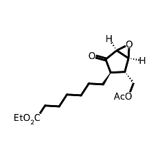 CCOC(=O)CCCCCC[C@H]1C(=O)[C@H]2O[C@H]2[C@@H]1COC(C)=O